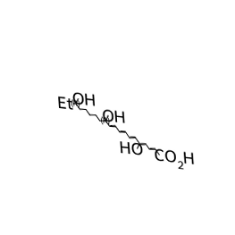 CC[C@@H](O)CCCCC[C@@H](O)C=CC=CC=CC(O)=CC=CC(=O)O